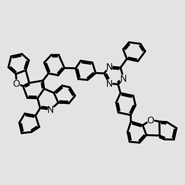 c1ccc(-c2nc(-c3ccc(-c4cccc(-c5c6c(cc7c(-c8ccccc8)nc8ccccc8c57)oc5ccccc56)c4)cc3)nc(-c3ccc(-c4cccc5c4oc4ccccc45)cc3)n2)cc1